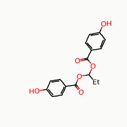 CCC(OC(=O)c1ccc(O)cc1)OC(=O)c1ccc(O)cc1